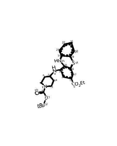 CCOC(=O)c1cc(NC2CCN(C(=O)OC(C)(C)C)CC2)c2c(c1)Sc1ccccc1N2